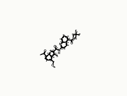 COCc1ccc(C(C)=O)c2sc(C(=O)Nc3ccc4c(C(=O)N5CC(F)(F)C5)cccc4n3)c(C)c12